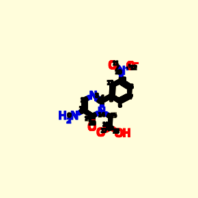 Nc1cnc(-c2cccc([N+](=O)[O-])c2)n(CC(=O)O)c1=O